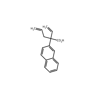 C=CCC(C=C)(C(=O)O)c1ccc2ccccc2c1